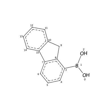 OB(O)c1cccc2c1Cc1ccccc1-2